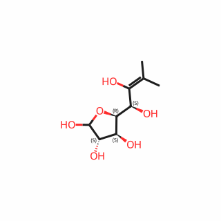 CC(C)=C(O)[C@@H](O)[C@@H]1OC(O)[C@@H](O)[C@@H]1O